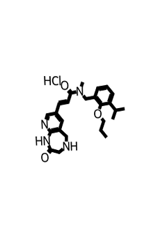 CCCOc1c(CN(C)C(=O)C=Cc2cnc3c(c2)CNCC(=O)N3)cccc1C(C)C.Cl